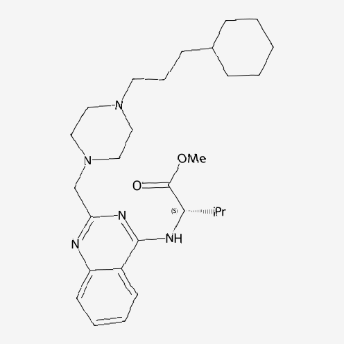 COC(=O)[C@@H](Nc1nc(CN2CCN(CCCC3CCCCC3)CC2)nc2ccccc12)C(C)C